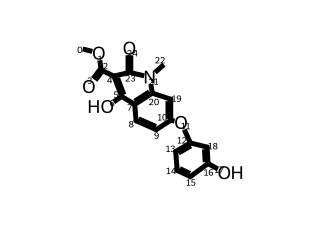 COC(=O)c1c(O)c2ccc(Oc3cccc(O)c3)cc2n(C)c1=O